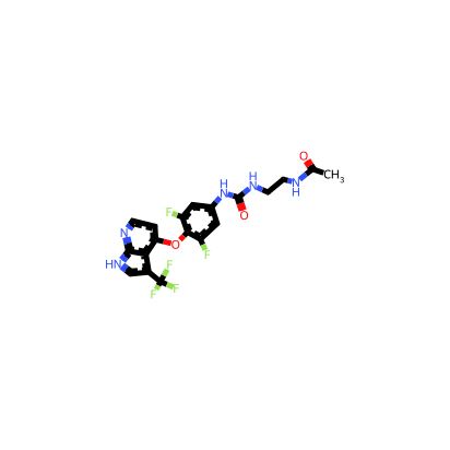 CC(=O)NCCNC(=O)Nc1cc(F)c(Oc2ccnc3[nH]cc(C(F)(F)F)c23)c(F)c1